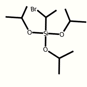 CC(C)O[Si](OC(C)C)(OC(C)C)C(C)Br